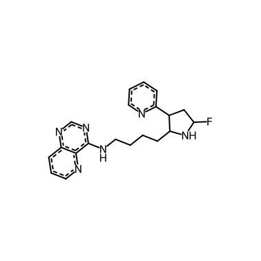 FC1CC(c2ccccn2)C(CCCCNc2ncnc3cccnc23)N1